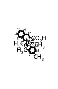 Cc1cc(C)c(S(=O)(=O)N2C(C(=O)O)Cc3ccccc3C2C)c(C)c1